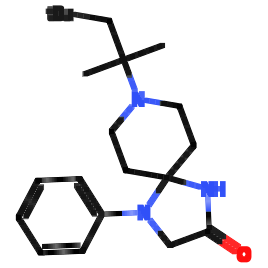 CC(C)(C)CC(C)(C)N1CCC2(CC1)NC(=O)CN2c1ccccc1